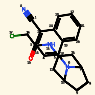 N#Cc1ccc(N2C3CCC2CC(NC(=O)CCl)C3)c2ccccc12